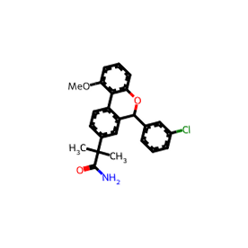 COc1cccc2c1-c1ccc(C(C)(C)C(N)=O)cc1C(c1cccc(Cl)c1)O2